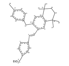 CCOC(=O)c1ccc(C=Cc2cc3c(cc2Cc2ccc(C)cc2)C(C)(C)CCC3(C)C)cc1